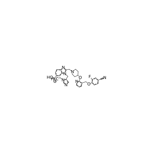 CCn1cncc1Cn1c(CN2CCC(Oc3ncccc3COc3ccc(C#N)cc3F)CC2)nc2ccc(C(=O)O)cc21